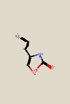 C=CCc1coc(=O)[nH]1